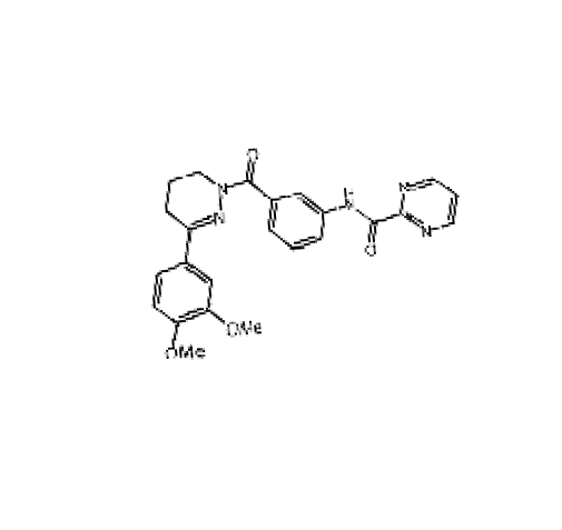 COc1ccc(C2=NN(C(=O)c3cccc(NC(=O)c4ncccn4)c3)CCC2)cc1OC